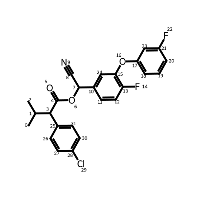 CC(C)C(C(=O)OC(C#N)c1ccc(F)c(Oc2cccc(F)c2)c1)c1ccc(Cl)cc1